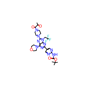 CC(=O)C(=O)N1CCN(c2nc3c(N4CCOCC4)nc(-c4cnc(NC(=O)OC(C)(C)C)nc4)nc3n2CC(F)(F)F)CC1